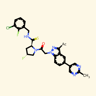 CC(=O)c1nn(CC(=O)N2C[C@H](F)C[C@H]2C(=S)NCc2cccc(Cl)c2F)c2ccc(-c3cnc(C)nc3)cc12